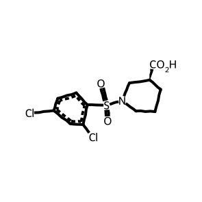 O=C(O)[C@H]1CCCN(S(=O)(=O)c2ccc(Cl)cc2Cl)C1